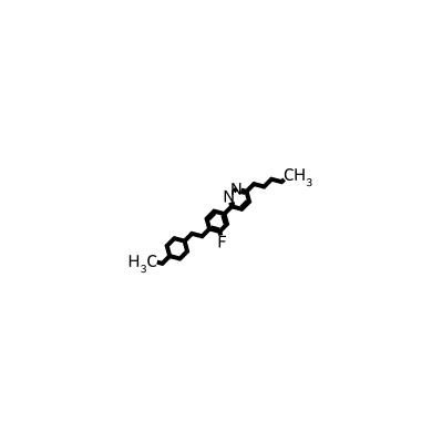 CCCCCc1ccc(-c2ccc(CCC3CCC(CC)CC3)c(F)c2)nn1